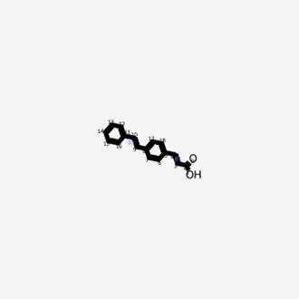 O=C(O)/C=C/c1ccc(/C=C/c2ccccc2)cc1